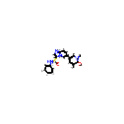 Cc1cc(-c2ccc3ncc([S+]([O-])NC4CCCCC4)n3c2)cn(C)c1=O